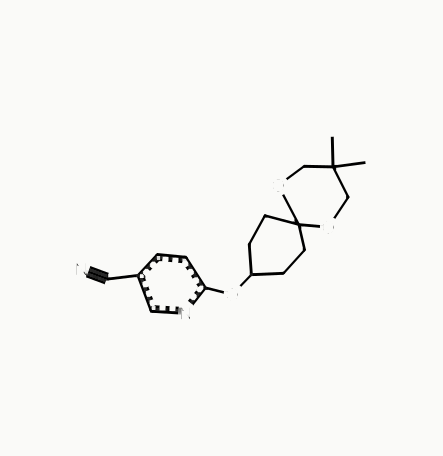 CC1(C)COC2(CCC(Oc3ccc(C#N)cn3)CC2)OC1